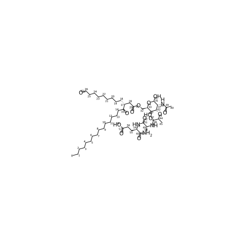 CCCCCCCCCCCCCCCC(=O)[C@H](CCCCCCCCC=O)CC(=O)OC[C@H]1OC(O)[C@H](NC(C)=O)[C@H](OC(C)C(=O)N[C@@H](C)C(=O)N[C@H](CCC(=O)O)C(N)=O)[C@@H]1O